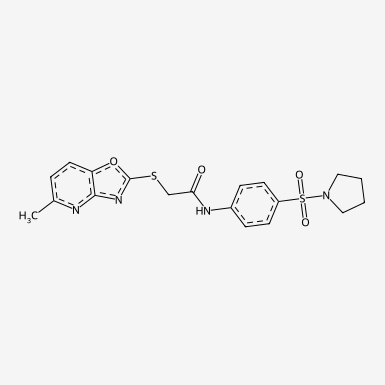 Cc1ccc2oc(SCC(=O)Nc3ccc(S(=O)(=O)N4CCCC4)cc3)nc2n1